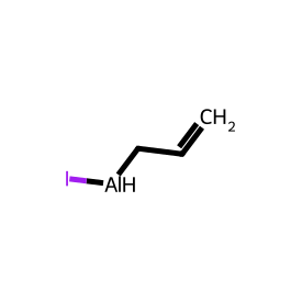 C=C[CH2][AlH][I]